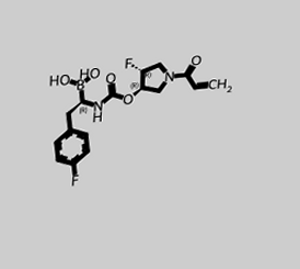 C=CC(=O)N1C[C@@H](F)[C@H](OC(=O)N[C@@H](Cc2ccc(F)cc2)B(O)O)C1